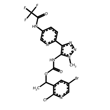 CC(OC(=O)Nc1c(-c2ccc(NC(=O)C(F)(F)F)cn2)nnn1C)c1cc(Br)cnc1Cl